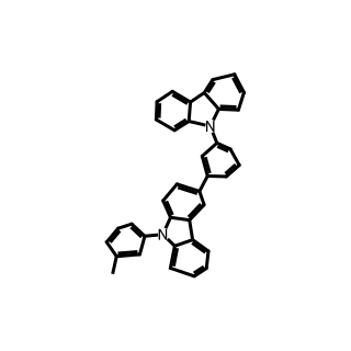 Cc1cccc(-n2c3ccccc3c3cc(-c4cccc(-n5c6ccccc6c6ccccc65)c4)ccc32)c1